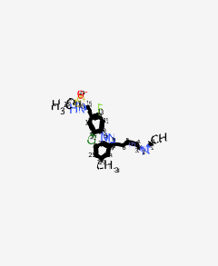 C#C/N=C\C=C/Cc1nn(-c2cc(F)c(CN[S+](C)[O-])cc2Cl)c2ccc(C)cc12